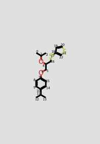 CC(C)OC(COc1ccc(C(C)C)cc1)CSc1ccsc1